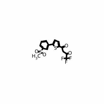 CS(=O)(=O)c1cccc(-c2ccc(C(=O)CC(=O)C(F)(F)F)s2)c1